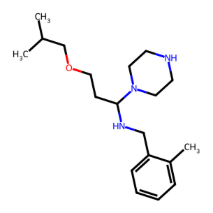 Cc1ccccc1CNC(CCOCC(C)C)N1CCNCC1